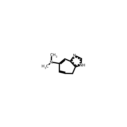 CN(C)C1=Cc2nc[nH]c2CC=C1